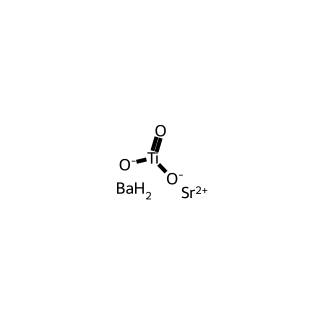 [BaH2].[O]=[Ti]([O-])[O-].[Sr+2]